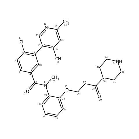 CN(C(=O)c1ccc(Cl)c(-c2cnc(C(F)(F)F)cc2C#N)c1)c1ccccc1OCCC(=O)N1CCNCC1